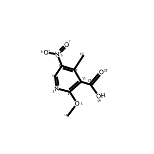 COc1ncc([N+](=O)[O-])c(C)c1C(=O)O